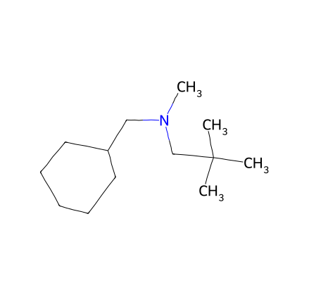 CN(CC1CCCCC1)CC(C)(C)C